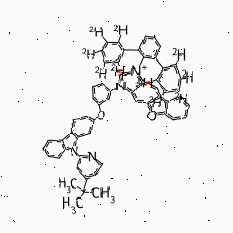 [2H]c1c([2H])c([2H])c(-c2cccc(-c3c([2H])c([2H])c([2H])c([2H])c3[2H])c2-[n+]2cn(-c3cccc(Oc4ccc5c6ccccc6n(-c6cc(C(C)(C)C)ccn6)c5c4)c3)c3cc4oc5ccccc5c4cc32)c([2H])c1[2H]